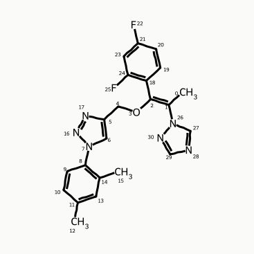 C/C(=C(/OCc1cn(-c2ccc(C)cc2C)nn1)c1ccc(F)cc1F)n1cncn1